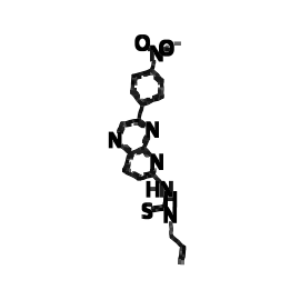 C=CCNC(=S)Nc1ccc2ncc(-c3ccc([N+](=O)[O-])cc3)nc2n1